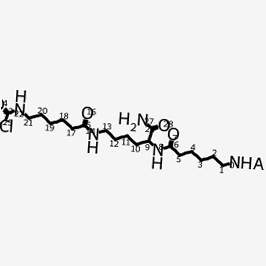 CC(=O)NCCCCCC(=O)NC(CCCCNC(=O)CCCCCNC(=O)Cl)C(N)=O